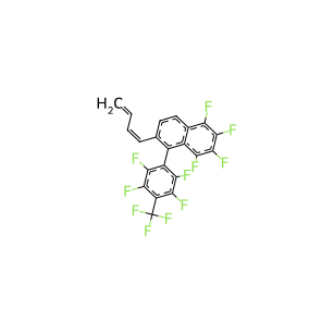 C=C/C=C\c1ccc2c(F)c(F)c(F)c(F)c2c1-c1c(F)c(F)c(C(F)(F)F)c(F)c1F